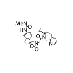 CNC(=O)Nc1ccc2c(c1)CC[C@@]21CN(CC(=O)N2Cc3ncccc3CC[C@@H]2C2CC2)C(=O)O1